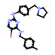 Cc1ccc(CNc2nc(Nc3ccc(CN4CCCC4)cc3)ncc2Br)cc1